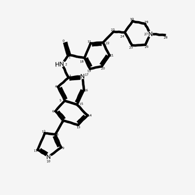 C=C(Nc1cc2cc(C3=CN=CC3)ccc2cn1)c1cccc(CC2CCN(C)CC2)c1